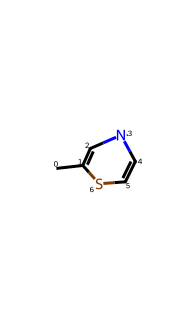 CC1=C[N]C=CS1